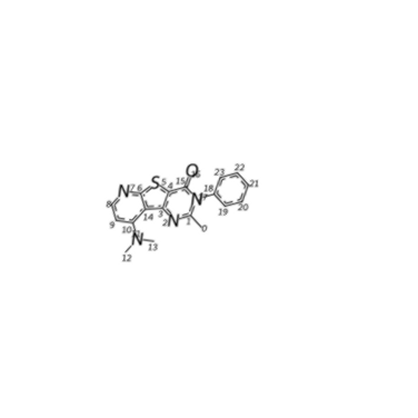 Cc1nc2c(sc3nccc(N(C)C)c32)c(=O)n1-c1ccccc1